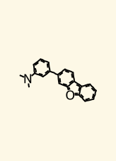 CN(C)c1cccc(-c2ccc3c(c2)oc2ccccc23)c1